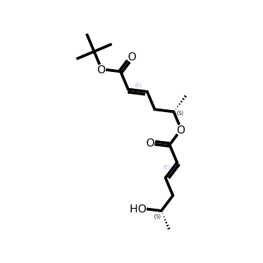 C[C@H](O)C/C=C/C(=O)O[C@@H](C)C/C=C/C(=O)OC(C)(C)C